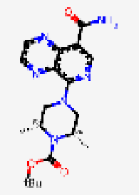 C[C@@H]1CN(c2ncc(C(N)=O)c3nccnc23)C[C@H](C)N1C(=O)OC(C)(C)C